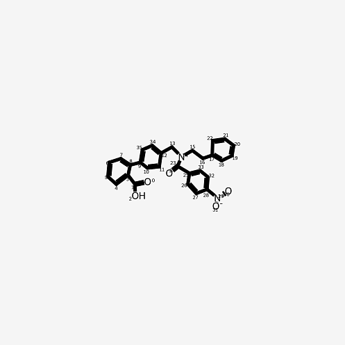 O=C(O)c1ccccc1-c1ccc(CN(CCc2ccccc2)C(=O)c2ccc([N+](=O)[O-])cc2)cc1